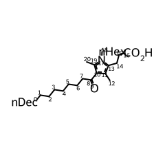 CCCCCCCCCCCCCCCCCC(=O)c1c(C)c(CCC(=O)O)n(CCCCCC)c1C